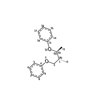 C[C@H](COc1ccccc1)[C@H](C)Oc1ccccc1